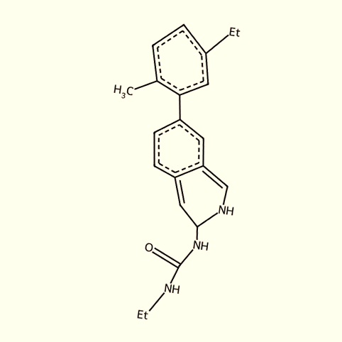 CCNC(=O)NC1C=c2ccc(-c3cc(CC)ccc3C)cc2=CN1